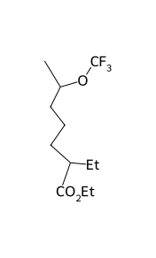 CCOC(=O)C(CC)CCCC(C)OC(F)(F)F